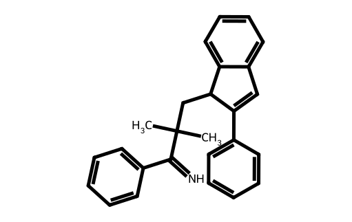 CC(C)(CC1C(c2ccccc2)=Cc2ccccc21)C(=N)c1ccccc1